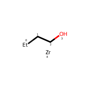 CCCCO.[Zr]